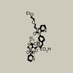 CCOCCOCCn1c(=O)n(-c2ccc(C[C@H](NC(=O)[C@H]3N(S(=O)(=O)c4cccnc4)CSC3(C)C)C(=O)O)cc2)c2ncccc21